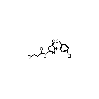 O=C(CCCl)NC1=NN(c2cc(Cl)ccc2Cl)C(=O)C1